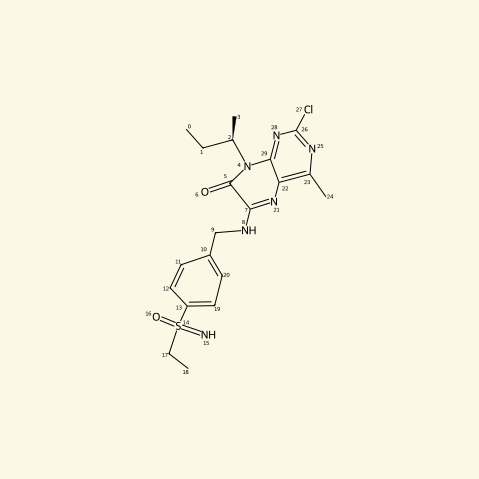 CC[C@@H](C)n1c(=O)c(NCc2ccc(S(=N)(=O)CC)cc2)nc2c(C)nc(Cl)nc21